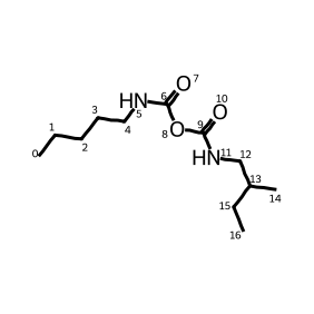 CCCCCNC(=O)OC(=O)NCC(C)CC